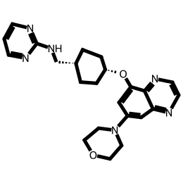 c1cnc(NC[C@H]2CC[C@@H](Oc3cc(N4CCOCC4)cc4nccnc34)CC2)nc1